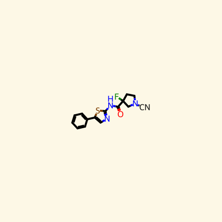 N#CN1CCC(F)(C(=O)Nc2ncc(-c3ccccc3)s2)C1